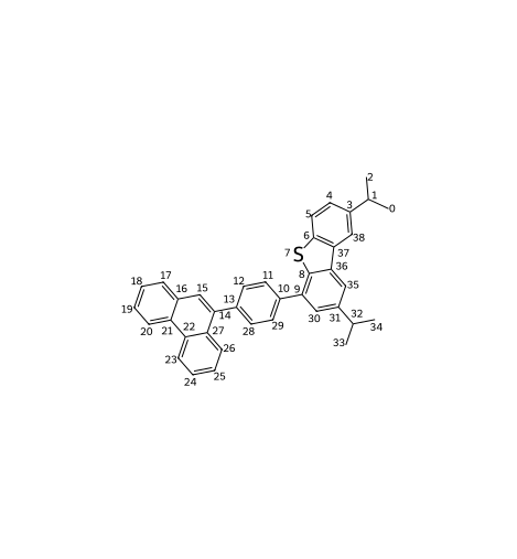 CC(C)c1ccc2sc3c(-c4ccc(-c5cc6ccccc6c6ccccc56)cc4)cc(C(C)C)cc3c2c1